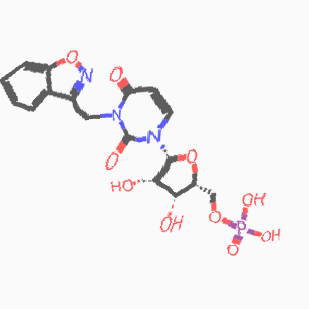 O=c1ccn([C@@H]2O[C@H](COP(=O)(O)O)[C@H](O)[C@@H]2O)c(=O)n1Cc1noc2ccccc12